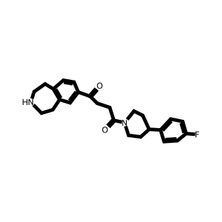 O=C(CCC(=O)N1CCC(c2ccc(F)cc2)CC1)c1ccc2c(c1)CCNCC2